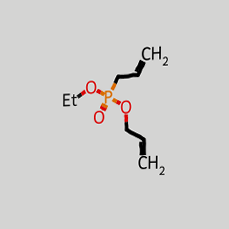 C=CCOP(=O)(CC=C)OCC